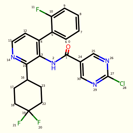 O=C(Nc1c(-c2ccccc2F)ccnc1C1CCC(F)(F)CC1)c1cnc(Cl)nc1